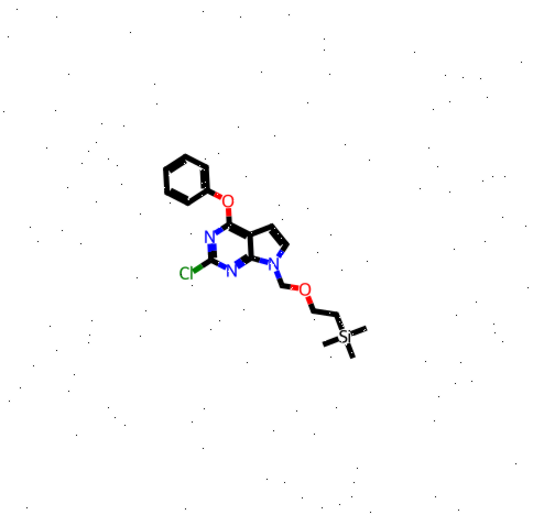 C[Si](C)(C)CCOCn1ccc2c(Oc3ccccc3)nc(Cl)nc21